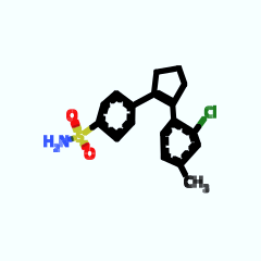 Cc1ccc(C2=C(c3ccc(S(N)(=O)=O)cc3)CCC2)c(Cl)c1